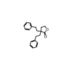 O=C1OCCC1(CCc1ccccc1)CCc1ccccc1